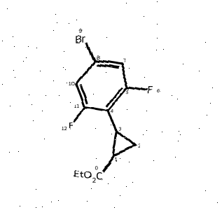 CCOC(=O)C1CC1c1c(F)cc(Br)cc1F